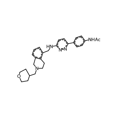 CC(=O)Nc1ccc(-c2ccc(NCc3cccc4c3CCN(CC3CCOCC3)C4)nn2)cc1